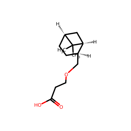 CC1(C)[C@H]2CC[C@H](COCCC(=O)O)[C@@H]1C2